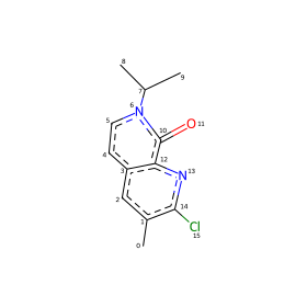 Cc1cc2ccn(C(C)C)c(=O)c2nc1Cl